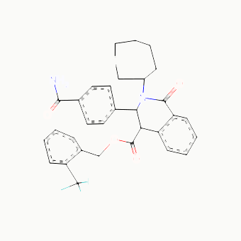 NC(=O)c1ccc(C2C(C(=O)OCc3ccccc3C(F)(F)F)c3ccccc3C(=O)N2C2CCCCCC2)cc1